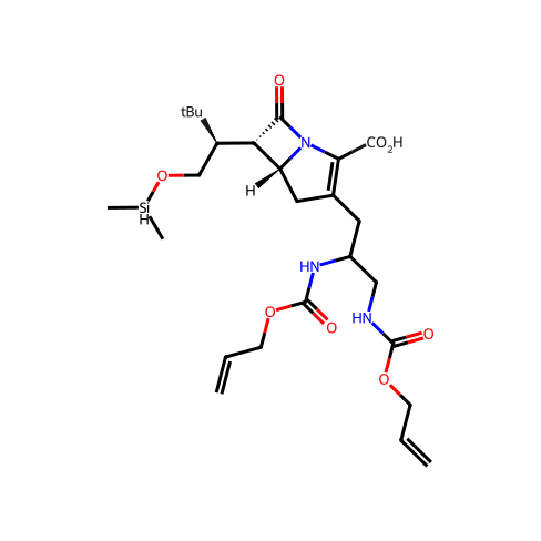 C=CCOC(=O)NCC(CC1=C(C(=O)O)N2C(=O)[C@@H]([C@@H](CO[SiH](C)C)C(C)(C)C)[C@H]2C1)NC(=O)OCC=C